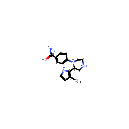 Cc1cc[nH]c1C1CNCCN1c1ccc(C(N)=O)cc1